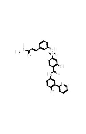 O=C(C=Cc1cccc(NS(=O)(=O)c2ccc(C(=O)Nc3ccc(Cl)c(-c4ccccn4)c3)c(Cl)c2)c1)NO